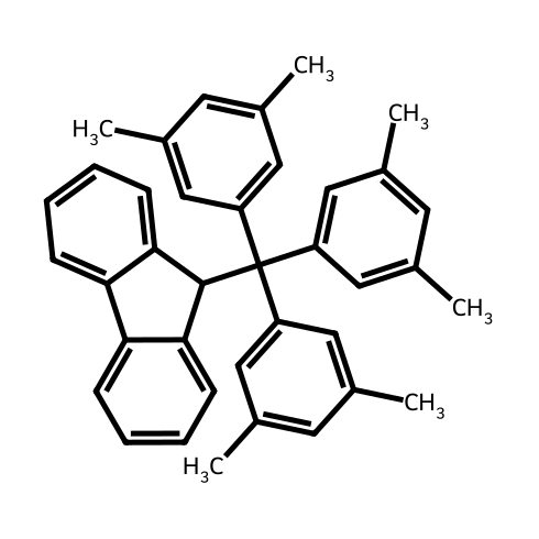 Cc1cc(C)cc(C(c2cc(C)cc(C)c2)(c2cc(C)cc(C)c2)C2c3ccccc3-c3ccccc32)c1